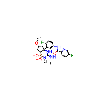 COC1CC2C(c3cc(NC(=O)c4ccc(F)cn4)ccc3F)(C1)NC(=N)N(C)S2(O)O